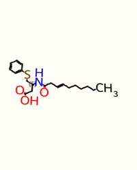 CCCCCCC=CCC(=O)N[C@H](CSc1ccccc1)CC(=O)O